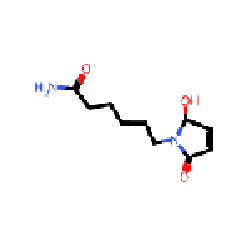 NC(=O)CCCCCN1C(=O)C=CC1O